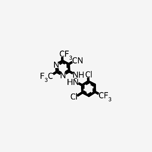 N#Cc1c(NNc2c(Cl)cc(C(F)(F)F)cc2Cl)nc(C(F)(F)F)nc1C(F)(F)F